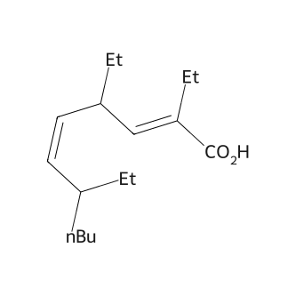 CCCCC(/C=C\C(/C=C(\CC)C(=O)O)CC)CC